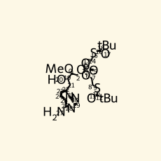 CO[C@H](COP(=O)(OCCSC(=O)C(C)(C)C)OCSC(=O)C(C)(C)C)[C@@H](O)Cc1ccc2c(N)ncnn12